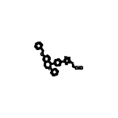 O=CCCn1nnc(-c2ccc(C3c4ccc(OCc5ccccc5)cc4CC[C@@H]3c3ccccc3)cc2)n1